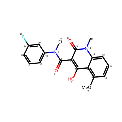 CCN(C(=O)c1c(O)c2c(OC)cccc2n(C)c1=O)c1cccc(F)c1